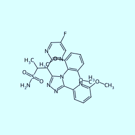 COc1cccc(-c2nnc(C(c3ncc(F)cn3)C(C)S(N)(=O)=O)n2-c2c(OC)cccc2OC)n1